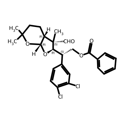 CC1(C)CC[C@H]2[C@H](O[C@H]([C@H](COC(=O)c3ccccc3)c3ccc(Cl)c(Cl)c3)[C@@]2(C)C=O)O1